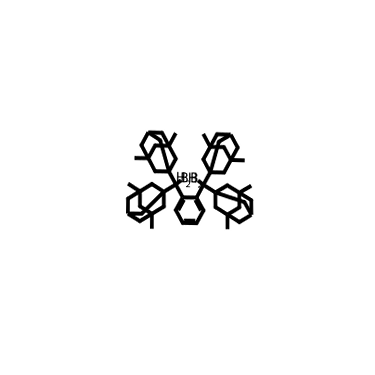 BC(c1ccccc1C(B)(C12CC3CC(C)(CC(C)(C3)C1)C2)C12CC3CC(C)(CC(C)(C3)C1)C2)(C12CC3CC(C)(CC(C)(C3)C1)C2)C12CC3CC(C)(CC(C)(C3)C1)C2